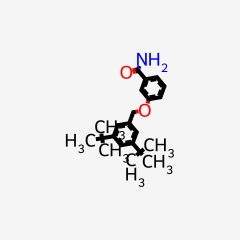 CC(C)(C)c1cc(COc2cccc(C(N)=O)c2)cc(C(C)(C)C)c1